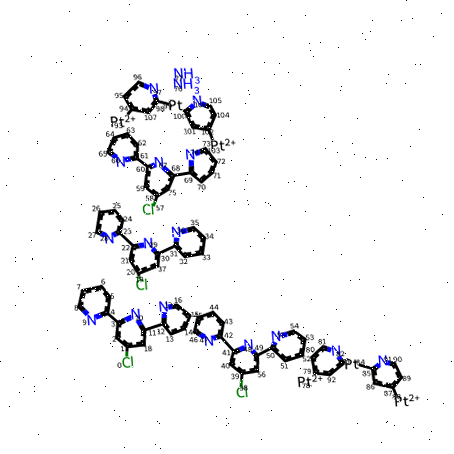 Clc1cc(-c2ccccn2)nc(-c2ccccn2)c1.Clc1cc(-c2ccccn2)nc(-c2ccccn2)c1.Clc1cc(-c2ccccn2)nc(-c2ccccn2)c1.Clc1cc(-c2ccccn2)nc(-c2ccccn2)c1.N.N.[Pt+2][c]1ccn[c]([Pt][c]2c[c]([Pt+2])ccn2)c1.[Pt+2][c]1ccn[c]([Pt][c]2c[c]([Pt+2])ccn2)c1